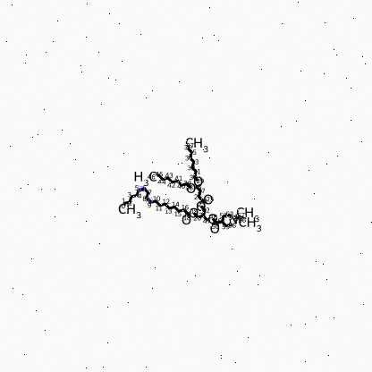 CCCCC/C=C\C/C=C\CCCCCCCC(=O)OCC(COC(=O)CCC(OCCCCCCCC)OCCCCCCCC)COC(=O)C1CCN(C(C)C)CC1